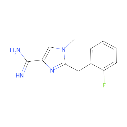 Cn1cc(C(=N)N)nc1Cc1ccccc1F